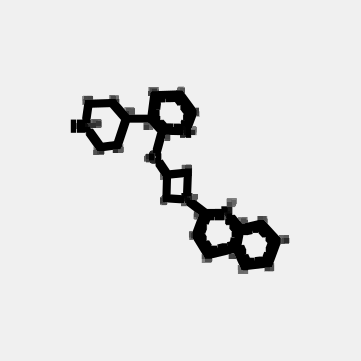 c1cnc(OC2CN(c3ccc4ccccc4n3)C2)c(C2CCNCC2)c1